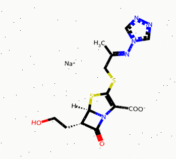 CC(CSC1=C(C(=O)[O-])N2C(=O)[C@H](CCO)[C@H]2S1)=Nn1cnnc1.[Na+]